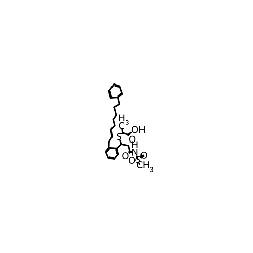 CC(SC(CC(=O)NS(C)(=O)=O)c1ccccc1CCCCCCCCc1ccccc1)C(=O)O